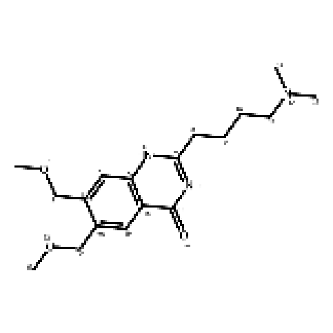 COCc1cc2[nH]c(CCCCN(C)C)nc(=O)c2cc1COC